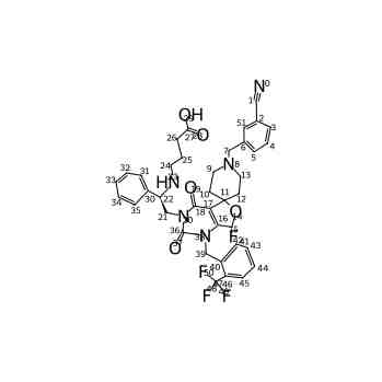 N#Cc1cccc(CN2CCC3(CC2)OCc2c3c(=O)n(C[C@H](NCCCC(=O)O)c3ccccc3)c(=O)n2Cc2c(F)cccc2C(F)(F)F)c1